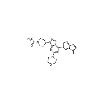 CC(=O)N1CCC(n2ncc3c(-c4ccc5cc[nH]c5c4)nc(N4CCOCC4)nc32)CC1